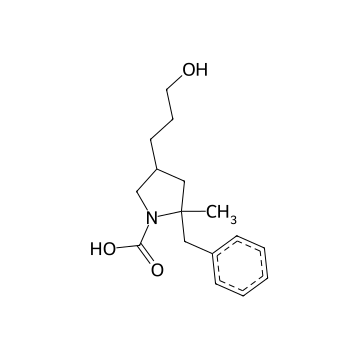 CC1(Cc2ccccc2)CC(CCCO)CN1C(=O)O